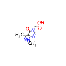 Cc1nn(C)c2ncn(CC(=O)O)c(=O)c12